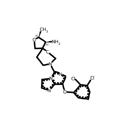 C[C@@H]1OCC2(CCN(c3ncc(Oc4cccc(Cl)c4Cl)c4nccn34)CC2)[C@@H]1N